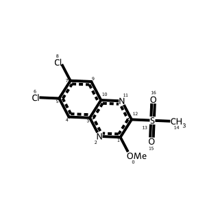 COc1nc2cc(Cl)c(Cl)cc2nc1S(C)(=O)=O